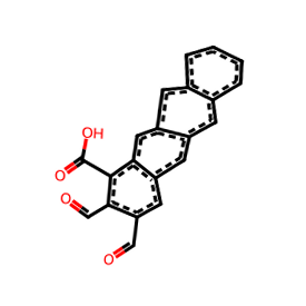 O=Cc1cc2cc3cc4ccccc4cc3cc2c(C(=O)O)c1C=O